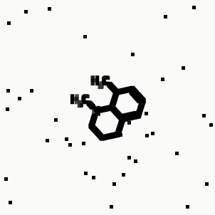 CC1C=CC=C2CCCN(C)C21